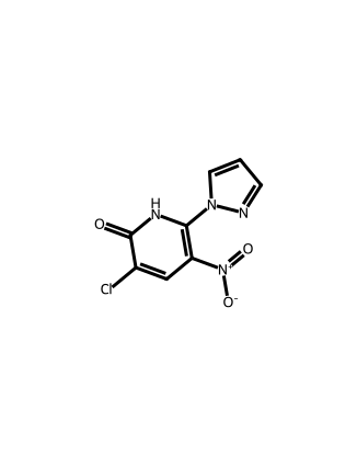 O=c1[nH]c(-n2cccn2)c([N+](=O)[O-])cc1Cl